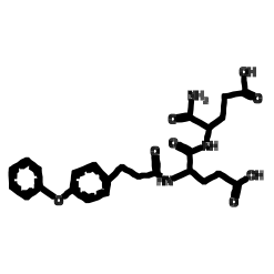 NC(=O)C(CCC(=O)O)NC(=O)C(CCC(=O)O)NC(=O)CCc1ccc(Oc2ccccc2)cc1